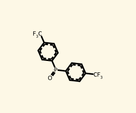 O=[P](c1ccc(C(F)(F)F)cc1)c1ccc(C(F)(F)F)cc1